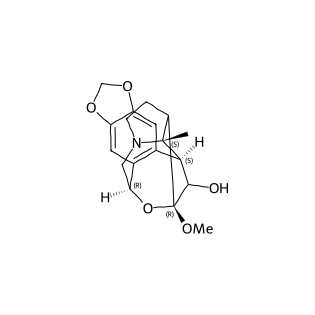 CO[C@@]12O[C@H]3CN4CCC1[C@]4(C)[C@H](c1cc4c(cc13)OCO4)C2O